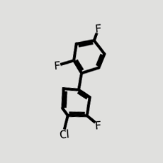 Fc1ccc(-c2ccc(Cl)c(F)c2)c(F)c1